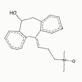 C[N+](C)([O-])CC/C=C1\c2ccccc2CC(O)c2ccccc21